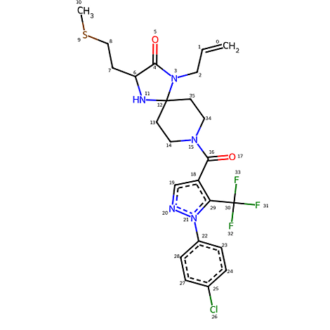 C=CCN1C(=O)C(CCSC)NC12CCN(C(=O)c1cnn(-c3ccc(Cl)cc3)c1C(F)(F)F)CC2